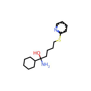 NC(O)(CCCCSc1ccccn1)C1CCCCC1